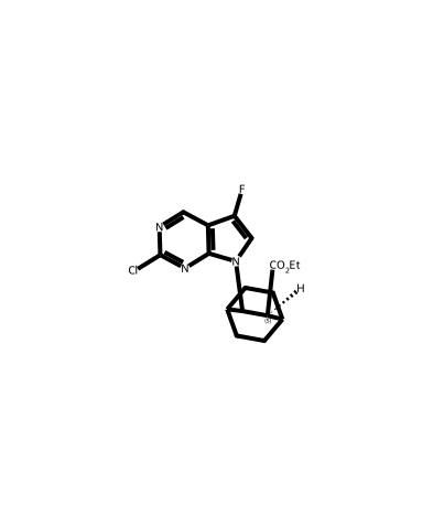 CCOC(=O)[C@H]1C2CCC(CC2)C1n1cc(F)c2cnc(Cl)nc21